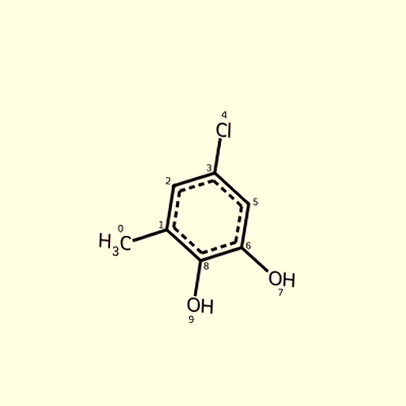 Cc1cc(Cl)cc(O)c1O